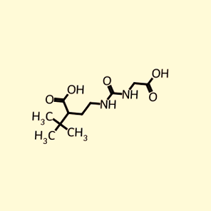 CC(C)(C)C(CCNC(=O)NCC(=O)O)C(=O)O